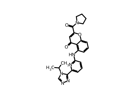 CC(C)n1cnnc1-c1cccc(Nc2cccc3oc(C(=O)N4CCCC4)cc(=O)c23)n1